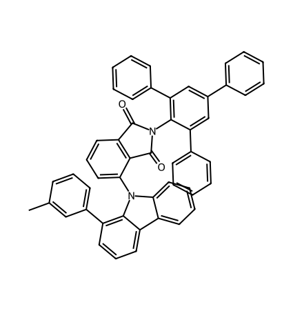 Cc1cccc(-c2cccc3c4ccccc4n(-c4cccc5c4C(=O)N(c4c(-c6ccccc6)cc(-c6ccccc6)cc4-c4ccccc4)C5=O)c23)c1